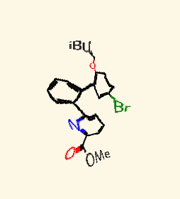 CCC(C)COc1ccc(Br)cc1-c1ccccc1-c1cccc(C(=O)OC)n1